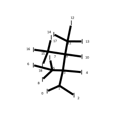 I[C](I)C(I)(C(I)(I)I)C(I)(C(I)(I)I)C(I)(I)I